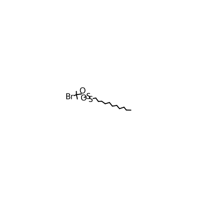 CCCCCCCCCCCSSOC(=O)C(C)(C)Br